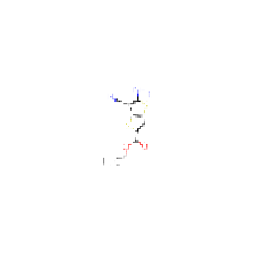 CCOC(=O)c1cc2sc(N)c(C#N)c2s1